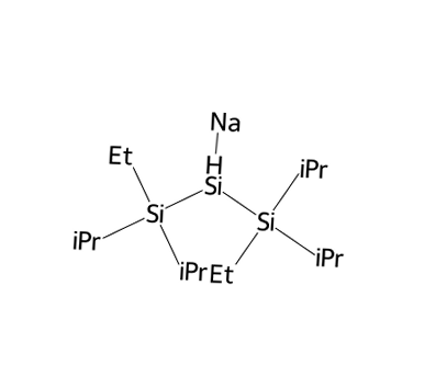 CC[Si](C(C)C)(C(C)C)[SiH]([Na])[Si](CC)(C(C)C)C(C)C